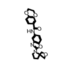 O=C(Nc1ccc2oc(N3CCCC34COC4)nc2c1)c1ccc2c(c1)OCCO2